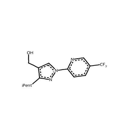 CCCC(C)c1nn(-c2ccc(C(F)(F)F)cn2)cc1CO